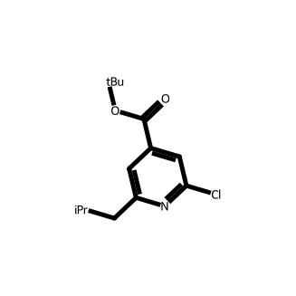 CC(C)Cc1cc(C(=O)OC(C)(C)C)cc(Cl)n1